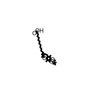 Cc1c(C)c2c(c(C)c1O[Si](C)(C)C(C)(C)C)CCC(C)(C=CCCCCCCCCCCC(=O)O)O2